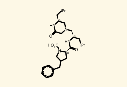 CC(C)C[C@H]1CN(C[C@H](CC(C)C)NC(=O)[C@@H]2CC(Cc3ccccc3)CN2C(=O)O)CC(=O)N1